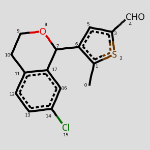 Cc1sc(C=O)cc1C1OCCc2ccc(Cl)cc21